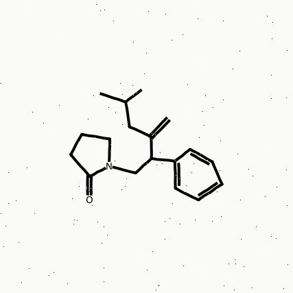 C=C(CC(C)C)C(CN1CCCC1=O)c1ccccc1